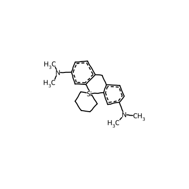 CN(C)c1ccc2c(c1)[Si]1(CCCCC1)c1cc(N(C)C)ccc1C2